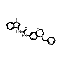 O=C(Nc1ccc2c(c1)OCCN2Cc1ccccc1)Nc1c[nH]c2ccccc12